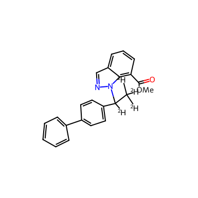 [2H]C([2H])([2H])C([2H])(c1ccc(-c2ccccc2)cc1)n1ncc2cccc(C(=O)OC)c21